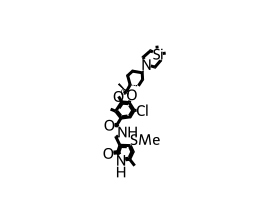 CSc1cc(C)[nH]c(=O)c1CNC(=O)c1cc(Cl)c2c(c1C)O[C@](C)([C@H]1CC[C@@H](N3CC[Si](C)(C)CC3)CC1)O2